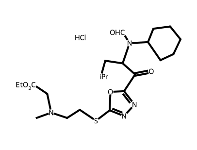 CCOC(=O)CN(C)CCSc1nnc(C(=O)C(CC(C)C)N(C=O)C2CCCCC2)o1.Cl